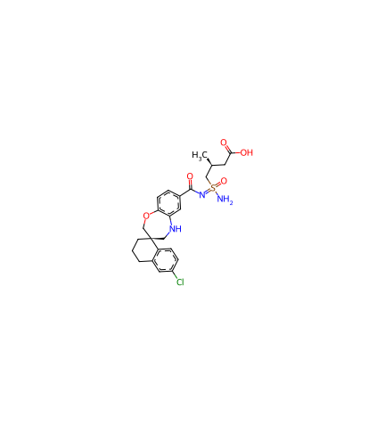 C[C@@H](CC(=O)O)CS(N)(=O)=NC(=O)c1ccc2c(c1)NC[C@@]1(CCCc3cc(Cl)ccc31)CO2